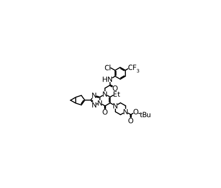 CCc1c(N2CCN(C(=O)OC(C)(C)C)CC2)c(=O)n2nc(C3=CC4CC4C3)nc2n1CC(=O)Nc1ccc(C(F)(F)F)cc1Cl